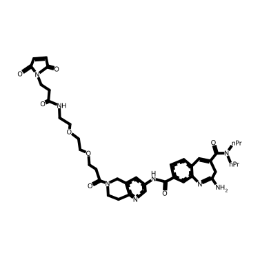 CCCN(CCC)C(=O)C1=Cc2ccc(C(=O)Nc3cnc4c(c3)CN(C(=O)CCOCCOCCNC(=O)CCN3C(=O)C=CC3=O)CC4)cc2N=C(N)C1